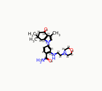 Cc1cn(-c2ccc(C(N)=O)c(NCCN3CCOCC3)c2)c2c1C(=O)CC(C)(C)C2